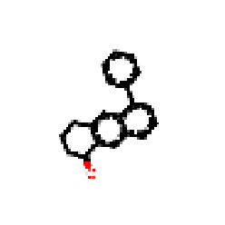 O=C1CCCc2cc3c(-c4ccccc4)cccc3cc21